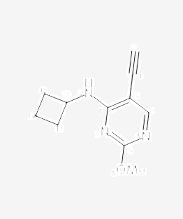 C#Cc1cnc(OC)nc1NC1CCC1